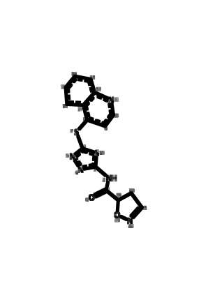 O=C(Nc1nnc(Sc2ccnc3ccccc23)s1)C1CC=NO1